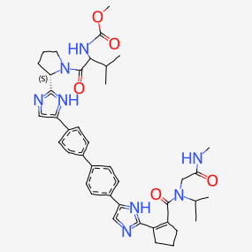 CNC(=O)CN(C(=O)C1=C(c2ncc(-c3ccc(-c4ccc(-c5cnc([C@@H]6CCCN6C(=O)C(NC(=O)OC)C(C)C)[nH]5)cc4)cc3)[nH]2)CCC1)C(C)C